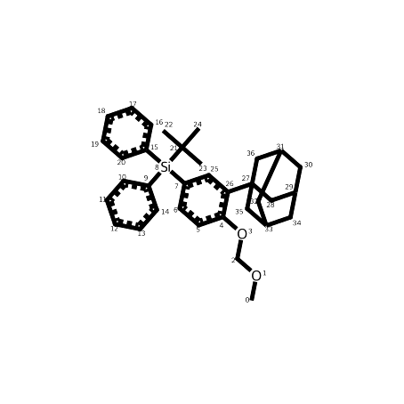 COCOc1ccc([Si](c2ccccc2)(c2ccccc2)C(C)(C)C)cc1C12CC3CC(CC(C3)C1)C2